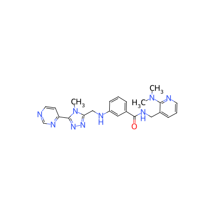 CN(C)c1ncccc1CNC(=O)c1cccc(NCc2nnc(-c3ccncn3)n2C)c1